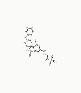 CS(=O)(=O)OCCOc1cc(F)c2c(c1)C(=O)OC21CCN(Cc2ccccc2)CC1